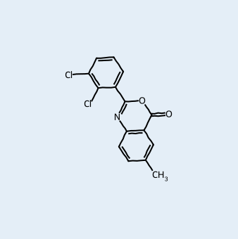 Cc1ccc2nc(-c3cccc(Cl)c3Cl)oc(=O)c2c1